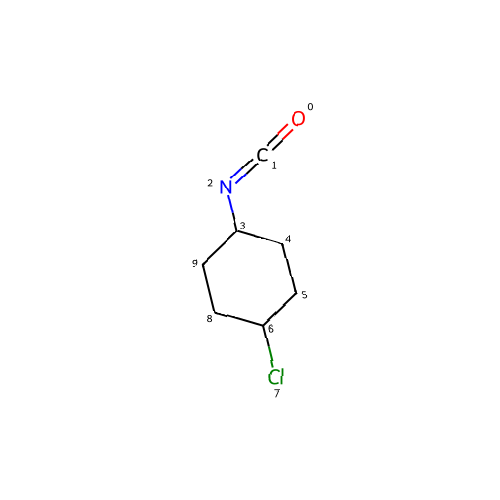 O=C=NC1CCC(Cl)CC1